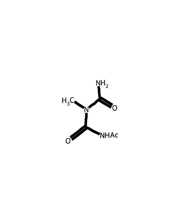 CC(=O)NC(=O)N(C)C(N)=O